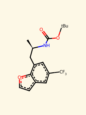 C[C@H](Cc1cc(C(F)(F)F)cc2ccoc12)NC(=O)OC(C)(C)C